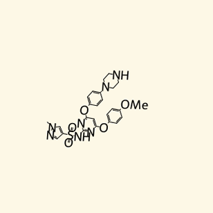 COc1ccc(Oc2cc(Oc3ccc(N4CCNCC4)cc3)nc(NS(=O)(=O)c3cnn(C)c3)n2)cc1